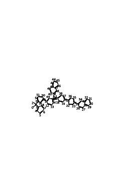 CC1(C)c2ccccc2-c2c(-c3cccc(N(c4ccc(-c5ccc(-c6ccc7ccccc7c6)cc5)cc4)c4ccc5ccccc5c4)c3)cccc21